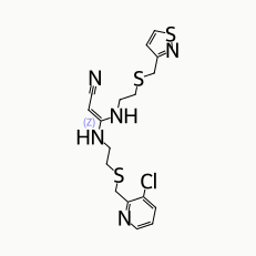 N#C/C=C(\NCCSCc1ccsn1)NCCSCc1ncccc1Cl